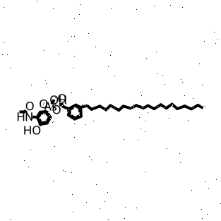 CCCCCCCCCCCCCCCCCCCCc1cccc(C(=O)O[As](=O)(O)c2ccc(O)c(NC(C)=O)c2)c1